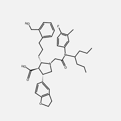 CCCC(CCC)N(C(=O)CN1C[C@H](c2ccc3c(c2)CCO3)[C@@H](C(=O)O)[C@@H]1CCCc1ccccc1CO)c1ccc(F)c(C)c1